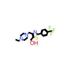 CCN1CCN(Cc2nc(-c3ccc(C(F)(F)F)cc3)sc2CO)CC1